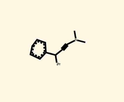 CC(C)C(C#CN(C)C)c1ccccc1